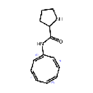 O=C(NC1=C/C=C\C=C/C=C\1)C1CCCN1